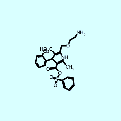 CC1=C(C(=O)OS(=O)(=O)c2ccccc2)C(c2ccccc2Cl)C(C(=O)O)=C(COCCN)N1